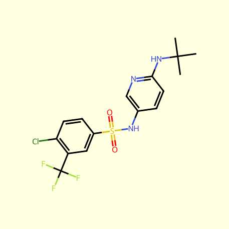 CC(C)(C)Nc1ccc(NS(=O)(=O)c2ccc(Cl)c(C(F)(F)F)c2)cn1